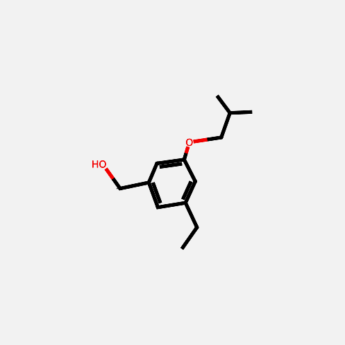 CCc1cc([CH]O)cc(OCC(C)C)c1